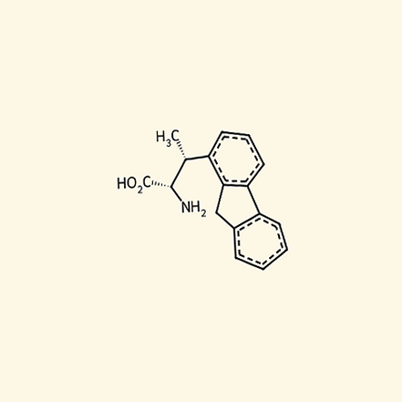 C[C@H](c1cccc2c1Cc1ccccc1-2)[C@H](N)C(=O)O